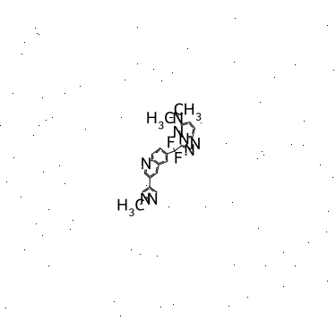 CN(C)c1ccc2nnc(C(F)(F)c3ccc4ncc(-c5cnn(C)c5)cc4c3)n2n1